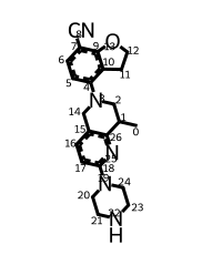 CC1CN(c2ccc(C#N)c3c2CCO3)Cc2ccc(N3CCNCC3)nc21